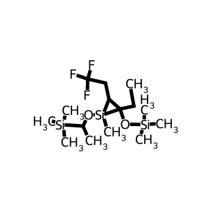 CCC1(O[Si](C)(C)C)C(CC(F)(F)F)[Si]1(C)OC(C)[Si](C)(C)C